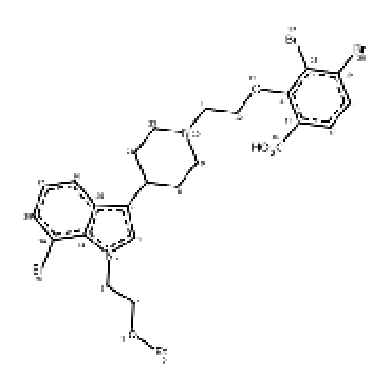 CCOCCn1cc(C2CCN(CCOc3c(C(=O)O)ccc(Br)c3Br)CC2)c2cccc(Br)c21